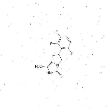 Cc1[nH]c(=S)n2c1C[C@H](c1c(F)ccc(F)c1F)C2